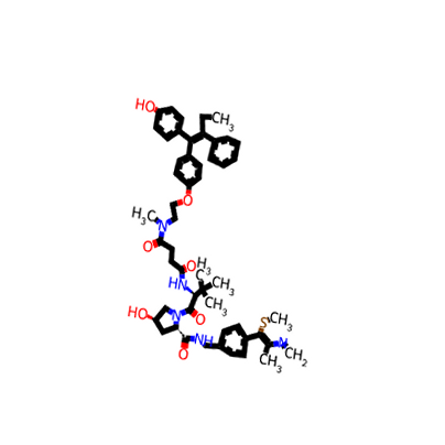 C=N/C(C)=C(\SC)c1ccc(CNC(=O)[C@@H]2C[C@@H](O)CN2C(=O)[C@@H](NC(=O)CCC(=O)N(C)CCOc2ccc(/C(=C(/CC)c3ccccc3)c3ccc(O)cc3)cc2)C(C)(C)C)cc1